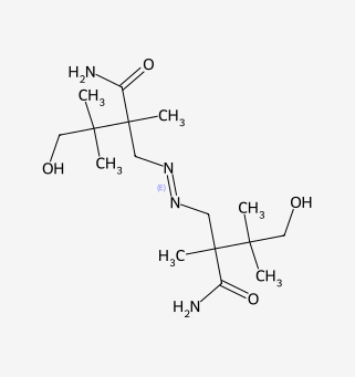 CC(C)(CO)C(C)(C/N=N/CC(C)(C(N)=O)C(C)(C)CO)C(N)=O